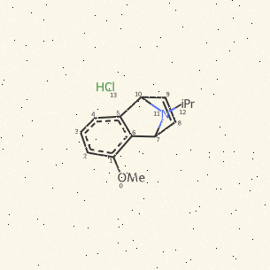 COc1cccc2c1C1C=CC2N1C(C)C.Cl